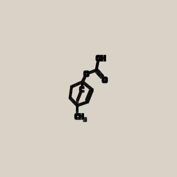 CC12C=CC(OC(=O)O)(CC1)CC2